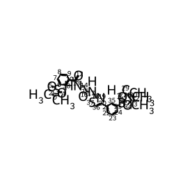 CC(C)S(=O)(=O)c1cccc(C(=O)NCC(=O)Nc2nc(-c3cccc(B4OC(C)(C)C(C)(C)O4)c3)cs2)c1